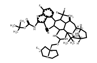 C=C1C[C@@H]2[C@@H]3CC[C@H](CN2C2(C(C)(C)C)NC(OC[C@@]45CCCN4C[C@H](F)C5)NC4C(F)C(c5ccc(F)c6sc(NC(=O)OC(C)(C)C)c(C#N)c56)C(C(F)(F)F)C1C42)N3